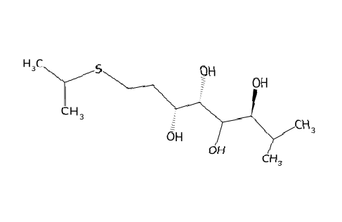 CC(C)SCC[C@@H](O)[C@H](O)C(O)[C@@H](O)C(C)C